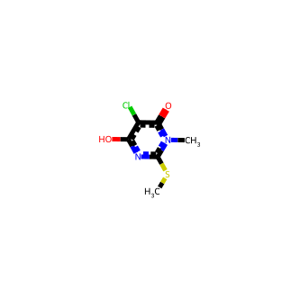 CSc1nc(O)c(Cl)c(=O)n1C